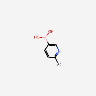 CC(=O)c1ccc(B(O)O)cn1